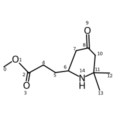 COC(=O)CCC1CC(=O)CC(C)(C)N1